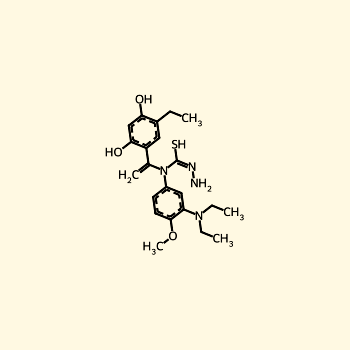 C=C(c1cc(CC)c(O)cc1O)N(/C(S)=N\N)c1ccc(OC)c(N(CC)CC)c1